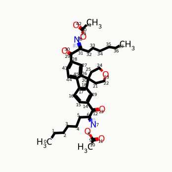 CCCCCC/C(=N\OC(C)=O)C(=O)c1ccc2c(c1)C1(CCOCC1)c1cc(C(=O)/C(CCCCCC)=N/OC(C)=O)ccc1-2